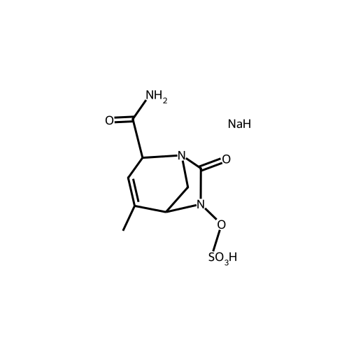 CC1=CC(C(N)=O)N2CC1N(OS(=O)(=O)O)C2=O.[NaH]